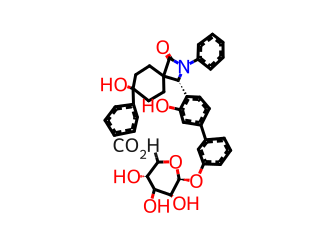 O=C(O)C1O[C@@H](Oc2cccc(-c3ccc([C@H]4N(c5ccccc5)C(=O)C45CCC(O)(c4ccccc4)CC5)c(O)c3)c2)[C@@H](O)C(O)[C@@H]1O